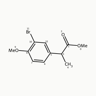 COC(=O)C(C)c1ccc(OC)c(Br)c1